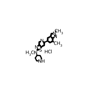 Cc1cc(-c2cc3sc(N(C)C4CCNCC4)nc3cn2)cc2cn(C)nc12.Cl